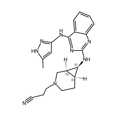 Cc1cc(Nc2nc(N[C@@H]3[C@@H]4CN(CCC#N)CC[C@@H]43)nc3ccccc23)n[nH]1